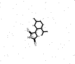 CC1CCC(C(C)C)C(C2CC(=O)NC2=O)C1